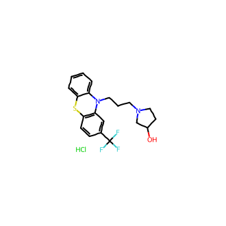 Cl.OC1CCN(CCCN2c3ccccc3Sc3ccc(C(F)(F)F)cc32)C1